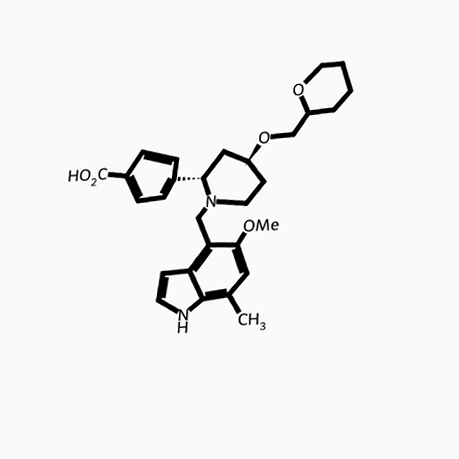 COc1cc(C)c2[nH]ccc2c1CN1CC[C@H](OCC2CCCCO2)C[C@H]1c1ccc(C(=O)O)cc1